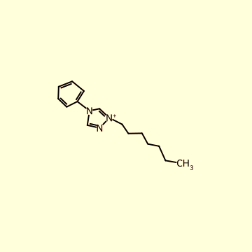 CCCCCCC[n+]1cn(-c2ccccc2)cn1